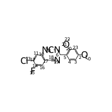 COc1ccc(CN=C=Nc2cc(Cl)c(F)cc2C#N)c(OC)c1